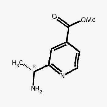 COC(=O)c1ccnc([C@@H](C)N)c1